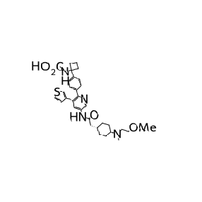 COCCN(C)[C@H]1CC[C@H](CC(=O)Nc2cnc(-c3ccc(C4(NC(=O)O)CCC4)cc3)c(-c3ccsc3)c2)CC1